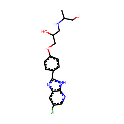 CC(CO)NCC(O)COc1ccc(-c2nc3cc(Br)cnc3[nH]2)cc1